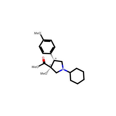 COC(=O)[C@]1(OC)CN(C2CCCCC2)C[C@H]1c1ccc(OC)cc1